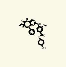 CCC1(C)CN(c2ccccc2)c2nc(Nc3ccc(C(=O)NC4CCC(O)CC4)cc3OC)ncc2N(C)C1=O